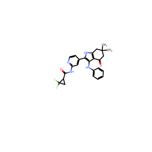 CC1(C)CC(=O)c2c([nH]c(-c3ccnc(NC(=O)C4CC4(F)F)c3)c2Nc2ccccc2)C1